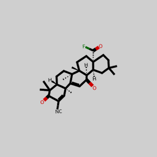 [C-]#[N+]C1=C[C@]2(C)C3=CC(=O)[C@@H]4[C@@H]5CC(C)(C)CC[C@]5(C(=O)F)CC[C@@]4(C)[C@]3(C)CC[C@H]2C(C)(C)C1=O